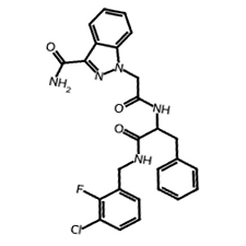 NC(=O)c1nn(CC(=O)NC(Cc2ccccc2)C(=O)NCc2cccc(Cl)c2F)c2ccccc12